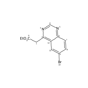 CCOC(=O)Cc1ncnc2ccc(Br)cc12